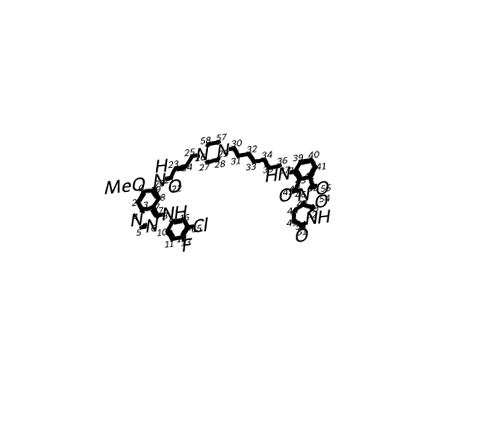 COc1cc2ncnc(Nc3ccc(F)c(Cl)c3)c2cc1NC(=O)/C=C/CN1CCN(CCCCCCCNc2cccc3c2C(=O)N(C2CCC(=O)NC2=O)C3=O)CC1